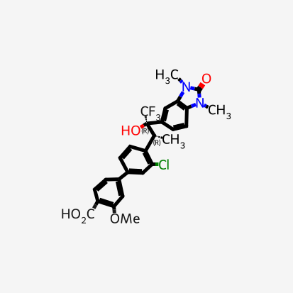 COc1cc(-c2ccc([C@@H](C)[C@@](O)(c3ccc4c(c3)n(C)c(=O)n4C)C(F)(F)F)c(Cl)c2)ccc1C(=O)O